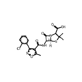 Cc1onc(-c2ccccc2Cl)c1C(=O)NC1C(=O)N2C(C(=O)O)C(C)(C)S[C@@H]12